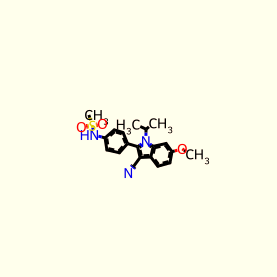 COc1ccc2c(C#N)c(-c3ccc(NS(C)(=O)=O)cc3)n(C(C)C)c2c1